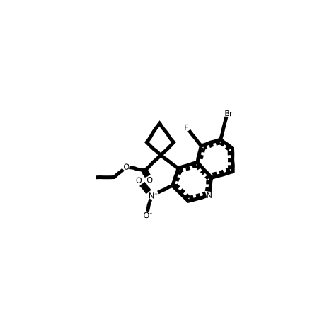 CCOC(=O)C1(c2c([N+](=O)[O-])cnc3ccc(Br)c(F)c23)CCC1